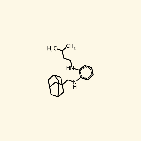 CC(C)CCNc1ccccc1NCC12CC3CC(CC(C3)C1)C2